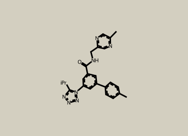 Cc1ccc(-c2cc(C(=O)NCc3cnc(C)cn3)cc(-n3nnnc3C(C)C)c2)cc1